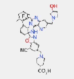 Cc1ccccc1C1=CC=CC(Nc2nc(C(F)(F)F)nc3cc(CN4CCC(O)C4)cnc23)(c2nc3cc(CN4CCC(C(=O)O)CC4)cc(C#N)c3o2)C1C